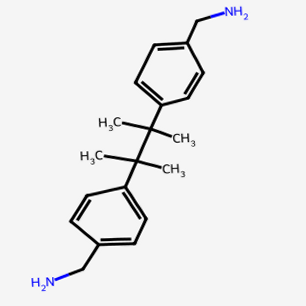 CC(C)(c1ccc(CN)cc1)C(C)(C)c1ccc(CN)cc1